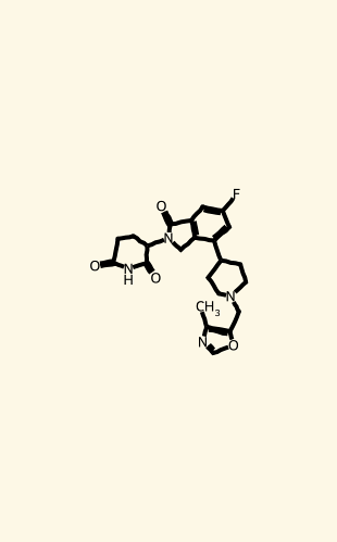 Cc1ncoc1CN1CCC(c2cc(F)cc3c2CN(C2CCC(=O)NC2=O)C3=O)CC1